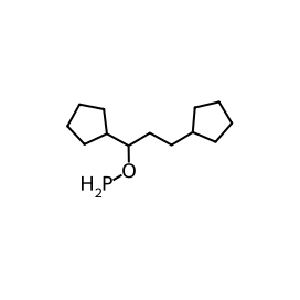 POC(CCC1CCCC1)C1CCCC1